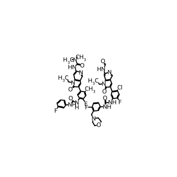 CCn1c(=O)c(-c2cc(NC(=O)Nc3ccc(F)c(CN4CCOCC4)c3)c(F)cc2Cl)cc2cnc(NC=O)cc21.CCn1c(=O)c(-c2cc(NC(=O)Nc3cccc(F)c3)c(F)cc2C)cc2cnc(NC(=O)N(C)C)cc21